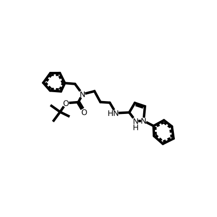 CC(C)(C)OC(=O)N(CCCNC1C=CN(c2ccccc2)N1)Cc1ccccc1